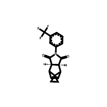 O=C1[C@@H]2C3C=CC([C@@H]2C(=O)N1c1cccc(C(F)(F)F)c1)C31CC1